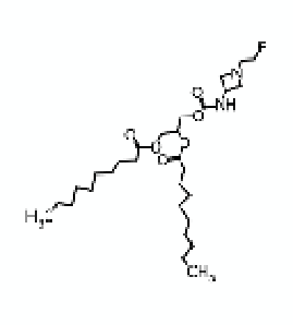 CCCCCCCCCC(=O)OCC(COC(=O)NC1CN(CCF)C1)OC(=O)CCCCCCCCC